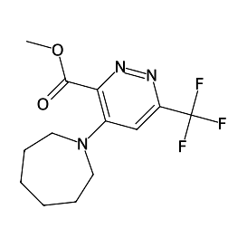 COC(=O)c1nnc(C(F)(F)F)cc1N1CCCCCC1